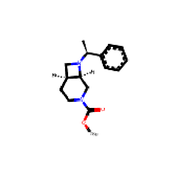 C[C@@H](c1ccccc1)N1C[C@@H]2CCN(C(=O)OC(C)(C)C)C[C@@H]21